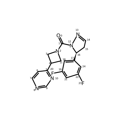 O=C(N1CC(c2ccncn2)C1)N1N=CC[C@H]1c1cc(F)cc(F)c1